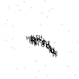 C[C@@H](CO[C@@H]1CCN([C@H]2CCN(c3ncc(C(F)(F)F)cn3)C[C@@H]2F)C1=O)Nc1cn[nH]c(=O)c1C(F)(F)F